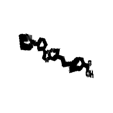 O=C(O)c1ccc(CCc2cnn3c(-c4cccc(-n5cccn5)c4)cnc3c2)cc1